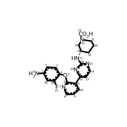 Nc1ccc(Oc2ncccc2-c2ccnc(N[C@H]3CCCN(C(=O)O)C3)n2)c(F)c1